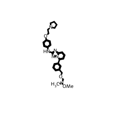 CON(C)COCc1cccc(-c2cccc3nc(Nc4ccc(OCCN5CCCC5)cc4)nn23)c1